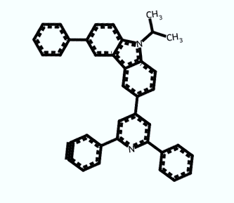 CC(C)n1c2ccc(-c3ccccc3)cc2c2cc(-c3cc(-c4cc#ccc4)nc(-c4ccccc4)c3)ccc21